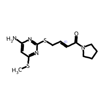 CSc1cc(N)nc(SC/C=C/C(=O)N2CCCC2)n1